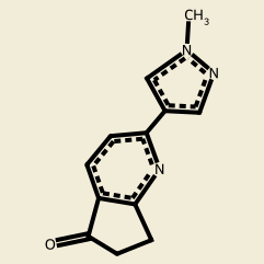 Cn1cc(-c2ccc3c(n2)CCC3=O)cn1